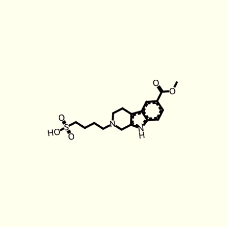 COC(=O)c1ccc2[nH]c3c(c2c1)CCN(CCCCS(=O)(=O)O)C3